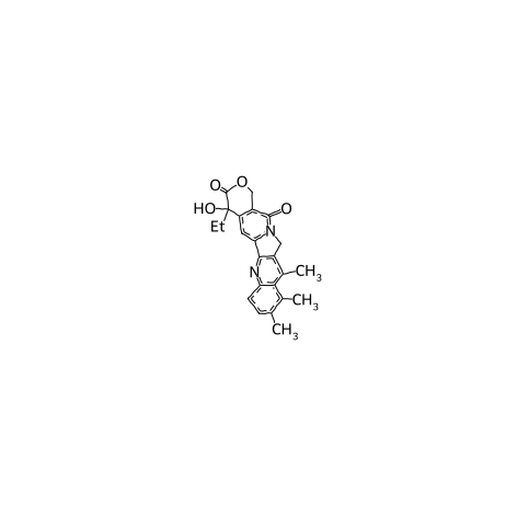 CCC1(O)C(=O)OCc2c1cc1n(c2=O)Cc2c-1nc1ccc(C)c(C)c1c2C